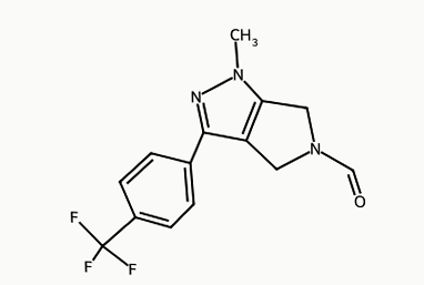 Cn1nc(-c2ccc(C(F)(F)F)cc2)c2c1CN(C=O)C2